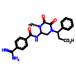 CCCN1C(=O)C(=O)N(C(CC(=O)O)c2ccccc2)CC1NC(=O)c1ccc(C(=N)N)cc1